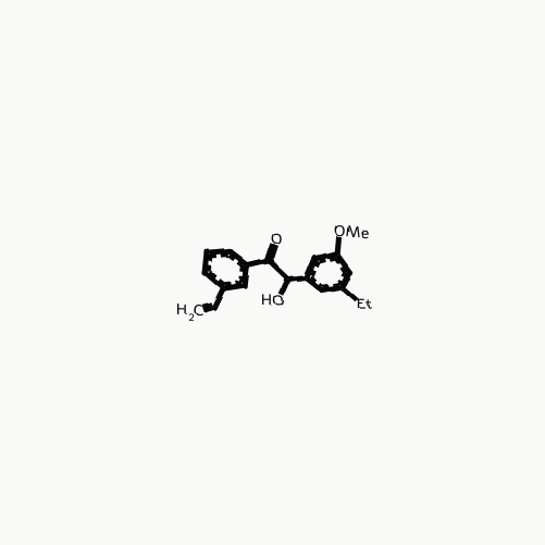 C=Cc1cccc(C(=O)C(O)c2cc(CC)cc(OC)c2)c1